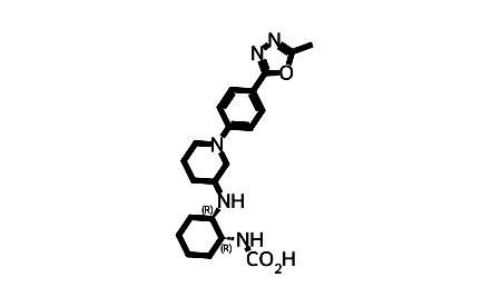 Cc1nnc(-c2ccc(N3CCCC(N[C@@H]4CCCC[C@H]4NC(=O)O)C3)cc2)o1